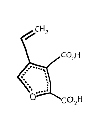 C=Cc1coc(C(=O)O)c1C(=O)O